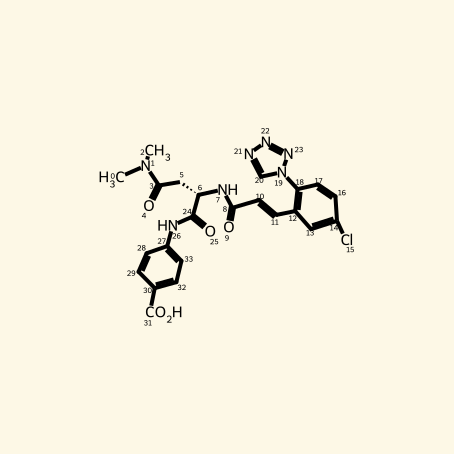 CN(C)C(=O)C[C@H](NC(=O)C=Cc1cc(Cl)ccc1-n1cnnn1)C(=O)Nc1ccc(C(=O)O)cc1